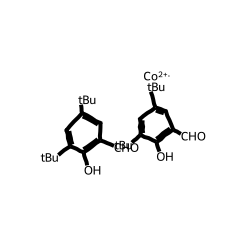 CC(C)(C)c1cc(C=O)c(O)c(C(C)(C)C)c1.CC(C)(C)c1cc(C=O)c(O)c(C(C)(C)C)c1.[Co+2]